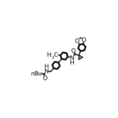 CCCCC(=O)NCc1ccc(-c2cc(NC(=O)C3(c4ccc5c(c4)OCO5)CC3)ccc2C)cc1